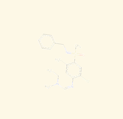 CCN(C)/C=N\c1cc(C)c(S(C)(=O)=NCc2ccccc2)cc1Cl